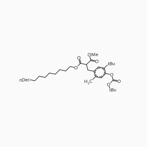 CCCCCCCCCCCCCCCCCCOC(=O)C(Cc1cc(C(C)(C)C)c(OC(=O)OC(C)(C)C)cc1C)C(=O)OC